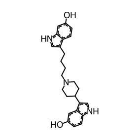 Oc1ccc2c(CCCCN3CCC(c4c[nH]c5ccc(O)cc45)CC3)c[nH]c2c1